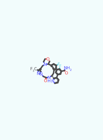 NC(=O)c1cc(-c2cccnc2[C@@H]2Cc3cc(F)cc(c3)C3COCCN3Cc3cn(nc3C(F)(F)F)CC(=O)N2)ccc1F